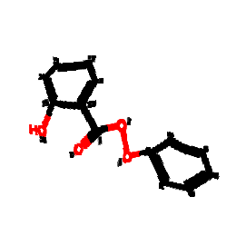 O=C(OOc1ccccc1)c1ccccc1O